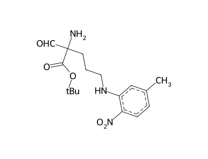 Cc1ccc([N+](=O)[O-])c(NCCCC(N)(C=O)C(=O)OC(C)(C)C)c1